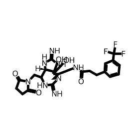 N=C1N[C@H]2C(CN3C(=O)CCC3=O)NC(=N)N3CC(NC(=O)CCc4cccc(C(F)(F)F)c4)C(O)(O)[C@]23N1